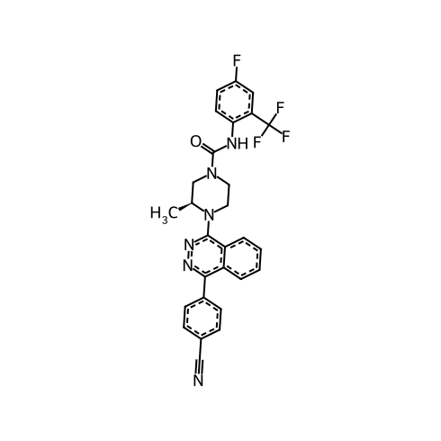 C[C@H]1CN(C(=O)Nc2ccc(F)cc2C(F)(F)F)CCN1c1nnc(-c2ccc(C#N)cc2)c2ccccc12